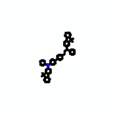 CC1(C)c2ccccc2-c2ccc(C(CCc3ccc(-c4ccc(N(c5ccccc5)c5ccc6c(c5)C(C)(C)c5ccccc5-6)cc4)cc3)c3ccccc3)cc21